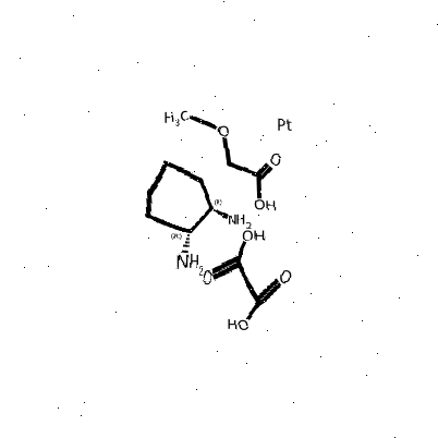 COCC(=O)O.N[C@@H]1CCCC[C@H]1N.O=C(O)C(=O)O.[Pt]